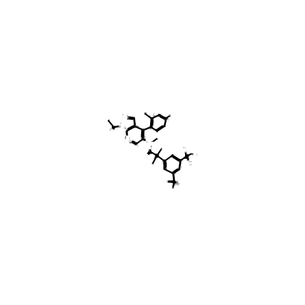 CC(=O)n1ncc2c(-c3ccc(F)cc3C)c(N(C)C(=O)C(C)(C)c3cc(C(F)(F)F)cc(C(F)(F)F)c3)cnc21